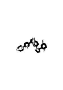 Fc1ccc(F)c(C2CCCN2c2ccc3ncc(-c4ccc(N5CCOCC5)nc4)n3n2)c1